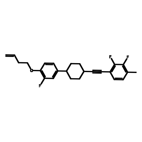 C=CCCOc1ccc(C2CCC(C#Cc3ccc(C)c(F)c3F)CC2)cc1F